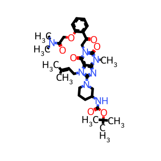 CC(C)=CCn1c(N2CCCC(NC(=O)OC(C)(C)C)C2)nc2c1c(=O)n(CC(=O)c1ccccc1OCC(=O)N(C)C)c(=O)n2C